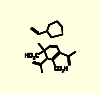 C=C(C)C1=C(C(=O)O)C(C(=C)C)C(C)(C(=O)O)C=C1.C=CC1CCCCC1